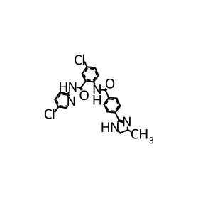 CC1CNC(c2ccc(C(=O)Nc3ccc(Cl)cc3C(=O)Nc3ccc(Cl)cn3)cc2)=N1